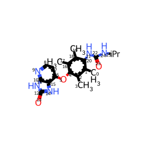 Cc1c(C)c(Oc2ccnc3[nH]c(=O)[nH]c23)c(C)c(C)c1NC(=O)NC(C)C